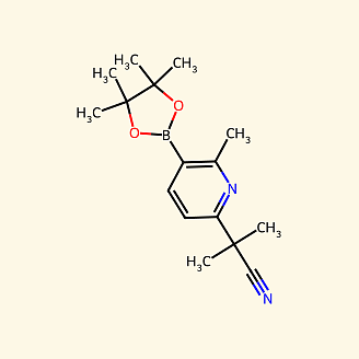 Cc1nc(C(C)(C)C#N)ccc1B1OC(C)(C)C(C)(C)O1